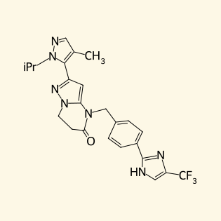 Cc1cnn(C(C)C)c1-c1cc2n(n1)CCC(=O)N2Cc1ccc(-c2nc(C(F)(F)F)c[nH]2)cc1